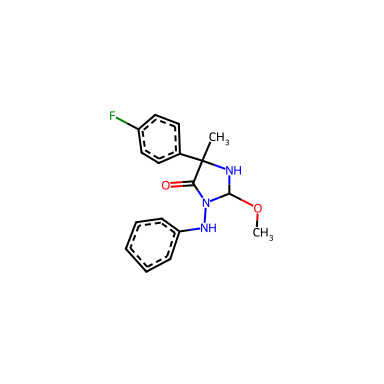 COC1NC(C)(c2ccc(F)cc2)C(=O)N1Nc1ccccc1